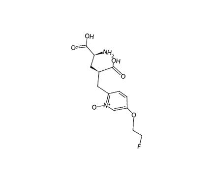 N[C@@H](C[C@H](Cc1ccc(OCCF)c[n+]1[O-])C(=O)O)C(=O)O